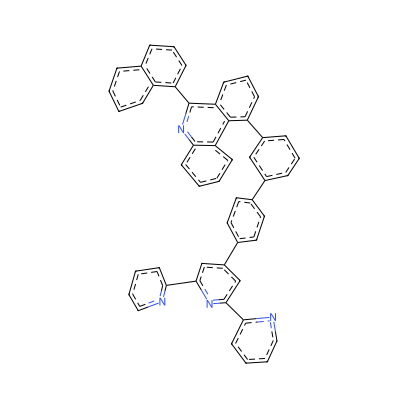 c1ccc(-c2cc(-c3ccc(-c4cccc(-c5cccc6c(-c7cccc8ccccc78)nc7ccccc7c56)c4)cc3)cc(-c3ccccn3)n2)nc1